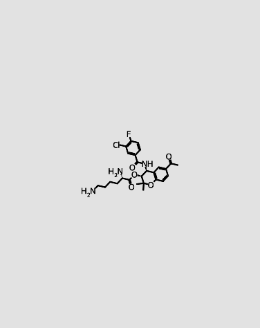 CC(=O)c1ccc2c(c1)[C@H](NC(=O)c1ccc(F)c(Cl)c1)[C@H](OC(=O)[C@@H](N)CCCCN)C(C)(C)O2